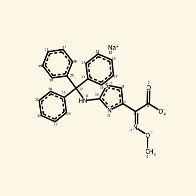 CON=C(C(=O)[O-])c1csc(NC(c2ccccc2)(c2ccccc2)c2ccccc2)n1.[Na+]